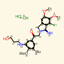 CCOc1cc2c(c(F)c1OCC)C(=N)N(CC(=O)c1cc(NCCCO)c(OC)c(C(C)(C)C)c1)C2.Cl.Cl